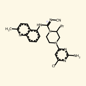 Cc1ccc2c(N/C(=N/C#N)N3CCN(c4cc(Cl)nc(N)n4)CC3C(C)C)cccc2n1